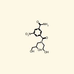 NC(=O)c1cc(C(=O)N(CCO)CC(O)CO)cc([N+](=O)[O-])c1